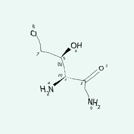 NC(=O)[C@@H](N)[C@H](O)CCl